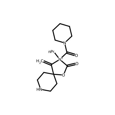 C=C1C2(CCNCC2)OC(=O)[N+]1(CCC)C(=O)N1CCCCC1